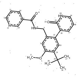 COc1cc(CNC(=O)c2cccnc2)c(-c2ccc[nH]c2=O)cc1C(C)(C)C